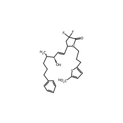 C[C@H](CCCc1ccccc1)[C@H](O)/C=C/C1CC(F)(F)C(=O)N1CCCc1ccc(C(=O)O)s1